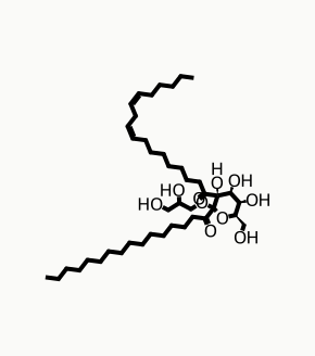 CCCCC/C=C\C/C=C\CCCCCCCC(=O)[C@@]1(O)[C@@H](O)[C@@H](O)[C@@H](CO)OC1(OCC(O)CO)C(=O)CCCCCCCCCCCCCCC